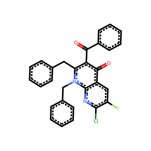 O=C(c1ccccc1)c1c(Cc2ccccc2)n(Cc2ccccc2)c2nc(Cl)c(F)cc2c1=O